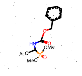 COP(=O)(OC)C(NC(=O)OCc1ccccc1)OC(C)=O